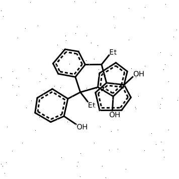 CCC(c1ccccc1O)c1ccccc1C(CC)(c1ccccc1O)c1ccccc1O